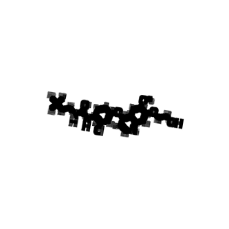 COc1cc2c(Oc3ccc(NC(=O)NCCC(C)(C)C)c(Cl)c3)ccnc2cc1OCCO